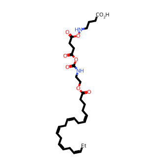 CC/C=C\C/C=C\C/C=C\C/C=C\C/C=C\CCCC(=O)OCCNC(=O)OC(=O)CCC(=O)ONCCCC(=O)O